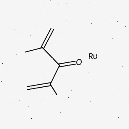 C=C(C)C(=O)C(=C)C.[Ru]